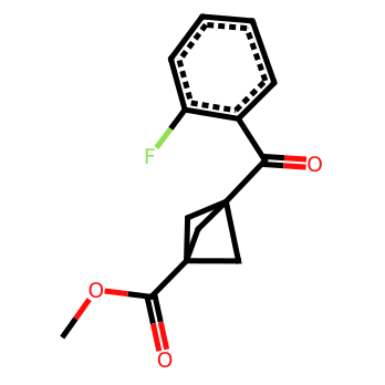 COC(=O)C12CC(C(=O)c3ccccc3F)(C1)C2